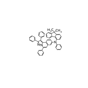 CC1(C)c2ccccc2-c2c(N(c3ccccc3)c3ccc4c(c3)cc(-c3ccccc3)n3nc(-c5ccccc5)c(-c5ccccc5)c43)cccc21